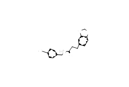 O=C(CCc1ccc2c(c1)OCO2)NCc1ccc(Cl)cc1